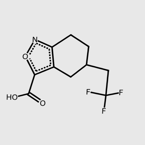 O=C(O)c1onc2c1CC(CC(F)(F)F)CC2